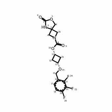 O=C1NC2(CO1)CN(C(=O)O[C@H]1C[C@@H](OCc3ccc(F)c(F)c3F)C1)C2